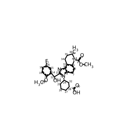 COC(=O)N1c2ccc3c(nc([C@@H](O)c4cc(F)ccc4OC)n3[C@@H]3CCC[C@@H](C(=O)O)C3)c2CC[C@@H]1C